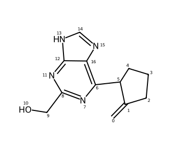 C=C1CCCC1c1nc(CO)nc2[nH]cnc12